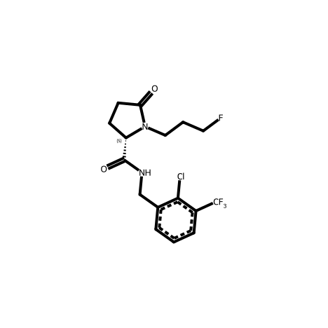 O=C(NCc1cccc(C(F)(F)F)c1Cl)[C@@H]1CCC(=O)N1CCCF